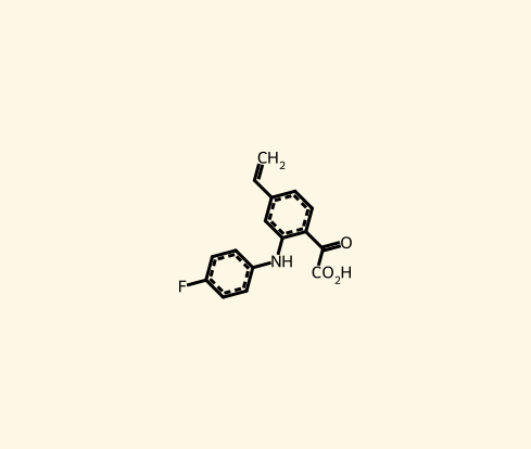 C=Cc1ccc(C(=O)C(=O)O)c(Nc2ccc(F)cc2)c1